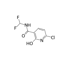 O=C(NC(F)F)c1ccc(Cl)nc1O